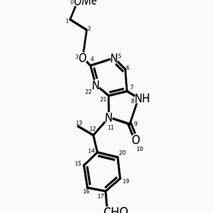 COCCOc1ncc2[nH]c(=O)n(C(C)c3ccc(C=O)cc3)c2n1